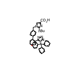 CCCCc1nc(C(=O)O)cn1Cc1ccc(-c2ccccc2-c2nnnn2C(c2ccccc2)(c2ccccc2)c2ccccc2)cc1